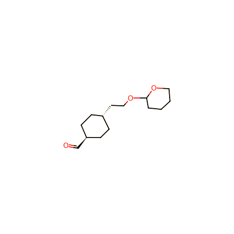 O=C[C@H]1CC[C@H](CCOC2CCCCO2)CC1